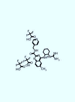 Cc1ccc2nc(C(=O)NCc3ccncc3)nc(NC3CCCCC3NC(=N)N)c2c1.O=C(O)C(F)(F)F.O=C(O)C(F)(F)F.O=C(O)C(F)(F)F